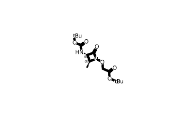 C[C@H]1[C@H](NC(=O)OC(C)(C)C)C(=O)N1OCC(=O)OC(C)(C)C